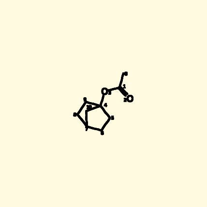 CC(=O)OC12CCC(CC1)C2